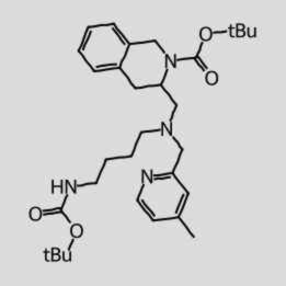 Cc1ccnc(CN(CCCCNC(=O)OC(C)(C)C)CC2Cc3ccccc3CN2C(=O)OC(C)(C)C)c1